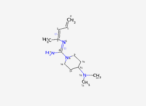 C=C/C=C(C)\N=C(/N)N1CCC(N(C)C)CC1